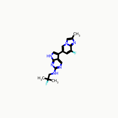 Cc1cn2cc(-c3c[nH]c4nc(NCC(C)(C)F)ncc34)cc(F)c2n1